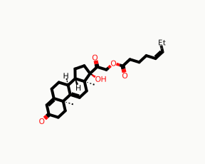 CC/C=C\CCCC(=O)OCC(=O)[C@@]1(O)CC[C@H]2[C@@H]3CCC4=CC(=O)CC[C@]4(C)C3=CC[C@@]21C